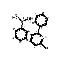 Cc1cccc(-c2ccccc2)n1.OB(O)c1ccccc1